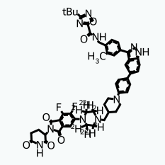 [2H]C1([2H])N(CC2CCN(c3ccc(-c4ccc5[nH]nc(-c6ccc(CNC(=O)c7nc(C(C)(C)C)no7)c(C)c6)c5c4)cc3)CC2)C([2H])([2H])C([2H])([2H])N(c2cc3c(c(F)c2F)C(=O)N(C2CCC(=O)NC2=O)C3=O)C1([2H])[2H]